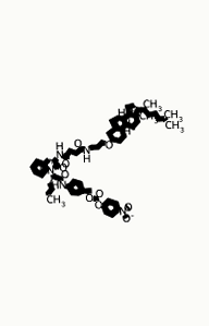 CCCC[C@H](NC(=O)[C@H](Cc1ccccc1)NC(=O)CCC(=O)NCCCO[C@H]1CC[C@@]2(C)C(=CC[C@H]3[C@@H]4CC[C@H]([C@H](C)CCCC(C)C)[C@@]4(C)CC[C@@H]32)C1)C(=O)Nc1ccc(COC(=O)Oc2ccc([N+](=O)[O-])cc2)cc1